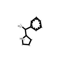 [CH2]C(c1ccccc1)C1CCCN1